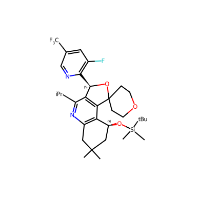 CC(C)c1nc2c(c3c1[C@@H](c1ncc(C(F)(F)F)cc1F)OC31CCOCC1)[C@@H](O[Si](C)(C)C(C)(C)C)CC(C)(C)C2